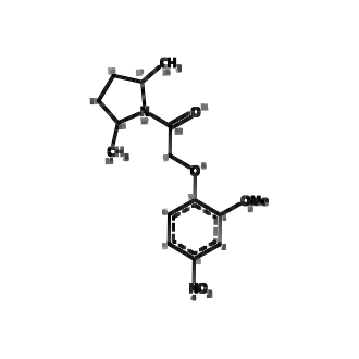 COc1cc([N+](=O)[O-])ccc1OCC(=O)N1C(C)CCC1C